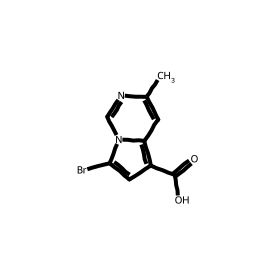 Cc1cc2c(C(=O)O)cc(Br)n2cn1